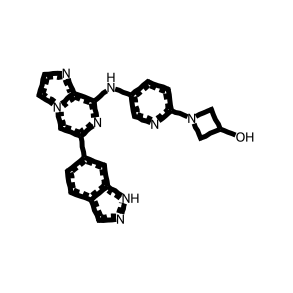 OC1CN(c2ccc(Nc3nc(-c4ccc5cn[nH]c5c4)cn4ccnc34)cn2)C1